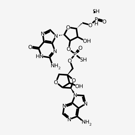 Nc1nc2c(ncn2[C@@H]2O[C@H](CO[PH](=O)S)C(O)C2OP(=O)(S)OC[C@]23COC(C2O)[C@H](n2cnc4c(N)ncnc42)O3)c(=O)[nH]1